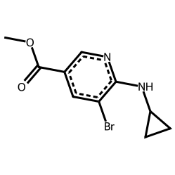 COC(=O)c1cnc(NC2CC2)c(Br)c1